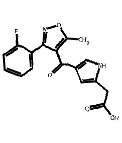 Cc1onc(-c2ccccc2F)c1C(=O)c1c[nH]c(CC(=O)O)c1